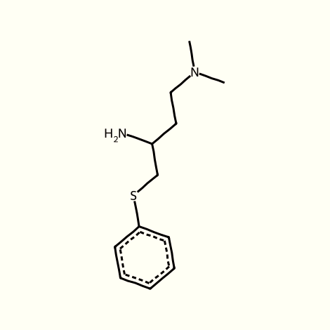 CN(C)CCC(N)CSc1ccccc1